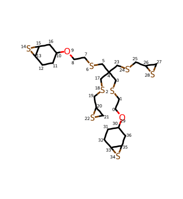 C(CSCC(CSCCOC1CCC2SC2C1)(CSCC1CS1)CSCC1CS1)OC1CCC2SC2C1